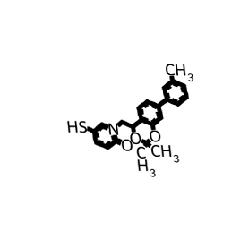 Cc1cccc(-c2ccc3c(c2)OC(C)(C)OC3Cn2cc(S)ccc2=O)c1